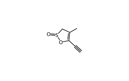 C#CC1=C(C)CS(=O)O1